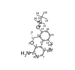 C[C@@H](Oc1cc(Br)cnc1N)c1cc(F)ccc1O[Si](C)(C)C(C)(C)C